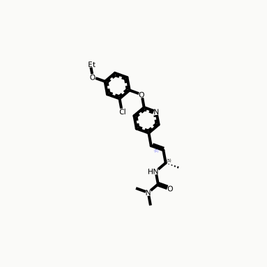 CCOc1ccc(Oc2ccc(/C=C/[C@H](C)NC(=O)N(C)C)cn2)c(Cl)c1